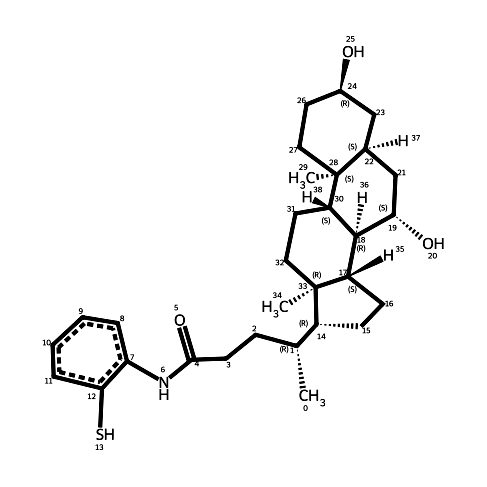 C[C@H](CCC(=O)Nc1ccccc1S)[C@H]1CC[C@H]2[C@@H]3[C@@H](O)C[C@@H]4C[C@H](O)CC[C@]4(C)[C@H]3CC[C@]12C